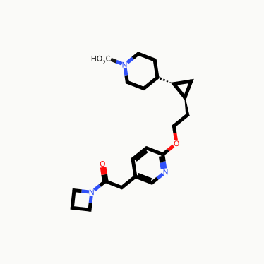 O=C(O)N1CCC([C@@H]2C[C@H]2CCOc2ccc(CC(=O)N3CCC3)cn2)CC1